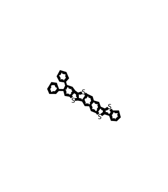 c1ccc(-c2cc3sc4c5cc6cc7sc8c9ccccc9sc8c7cc6cc5sc4c3cc2-c2ccccc2)cc1